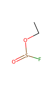 CCOS(=O)F